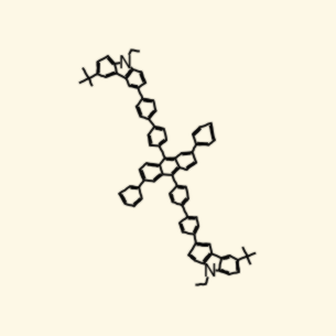 CCn1c2ccc(-c3ccc(-c4ccc(-c5c6ccc(-c7ccccc7)cc6c(-c6ccc(-c7ccc(-c8ccc9c(c8)c8cc(C(C)(C)C)ccc8n9CC)cc7)cc6)c6ccc(-c7ccccc7)cc56)cc4)cc3)cc2c2cc(C(C)(C)C)ccc21